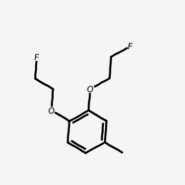 Cc1ccc(OCCF)c(OCCF)c1